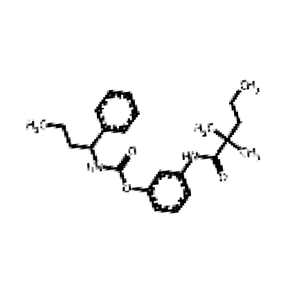 CCCC(NC(=O)Oc1cccc(NC(=O)C(C)(C)CCC)c1)c1ccccc1